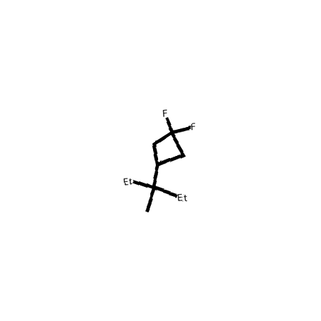 CCC(C)(CC)C1CC(F)(F)C1